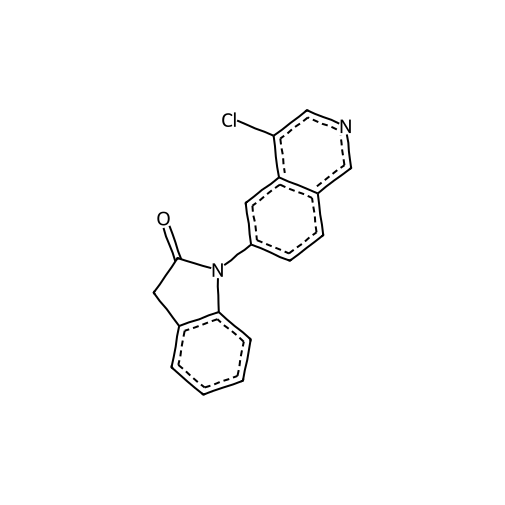 O=C1Cc2ccccc2N1c1ccc2cncc(Cl)c2c1